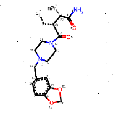 CCC[C@H](C(N)=O)[C@@H](CC(C)C)C(=O)N1CCN(Cc2ccc3c(c2)OCO3)CC1